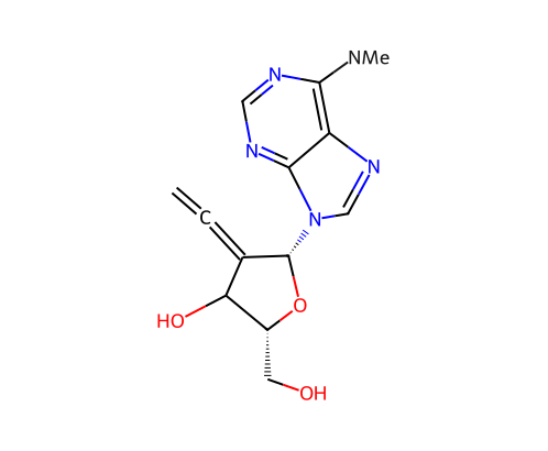 C=C=C1C(O)[C@@H](CO)O[C@H]1n1cnc2c(NC)ncnc21